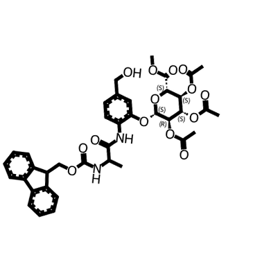 COC(=O)[C@H]1O[C@@H](Oc2cc(CO)ccc2NC(=O)C(C)NC(=O)OCC2c3ccccc3-c3ccccc32)[C@H](OC(C)=O)[C@@H](OC(C)=O)[C@@H]1OC(C)=O